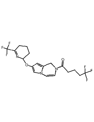 O=C(CCCC(F)(F)F)N1C=Cn2cc(OC3CCCC(C(F)(F)F)=N3)cc2C1